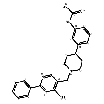 Cc1nc(-c2ccccc2)ncc1CN1CCC(c2cccc(NC(=O)C(C)C)c2)CC1